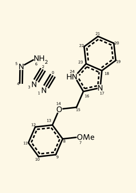 C#N.C#N.C=NN.COc1ccccc1OCc1nc2ccccc2[nH]1